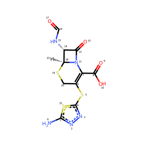 Nc1nnc(SC2=C(C(=O)O)N3C(=O)[C@@H](NC=O)[C@@H]3SC2)s1